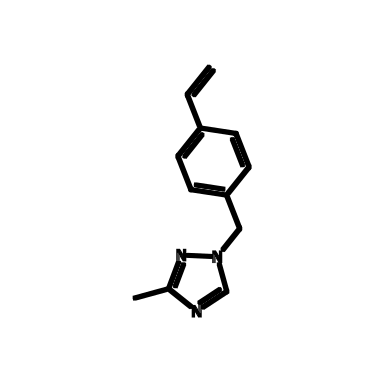 C=Cc1ccc(Cn2cnc(C)n2)cc1